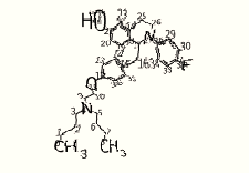 CCCCN(CCCC)CCOc1ccc(CC2c3ccc(O)cc3CCN2c2ccc(F)cc2)cc1